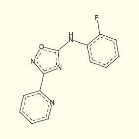 Fc1ccccc1Nc1nc(-c2ccccn2)no1